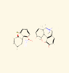 CN1CC[C@]23c4c5ccc(O)c4O[C@H]2C(OC(=O)N[C@]2(c4ccccc4Cl)CCCCC2=O)C=C[C@H]3[C@H]1C5